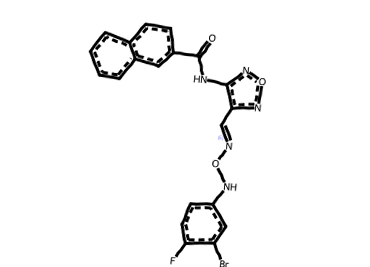 O=C(Nc1nonc1/C=N/ONc1ccc(F)c(Br)c1)c1ccc2ccccc2c1